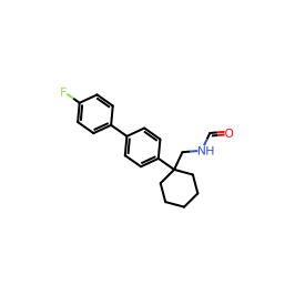 O=CNCC1(c2ccc(-c3ccc(F)cc3)cc2)CCCCC1